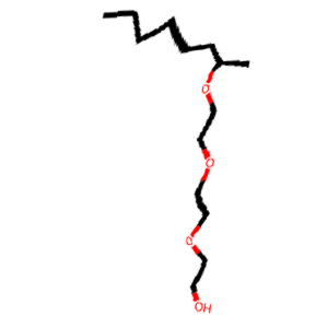 CCCCCCC(C)OCCOCCOCCO